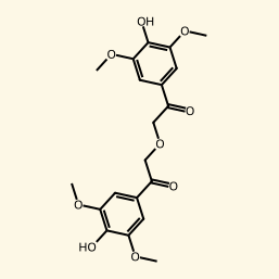 COc1cc(C(=O)COCC(=O)c2cc(OC)c(O)c(OC)c2)cc(OC)c1O